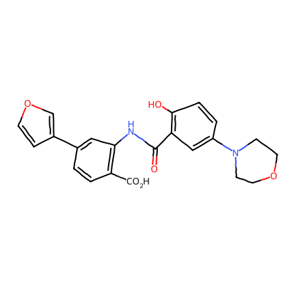 O=C(Nc1cc(-c2ccoc2)ccc1C(=O)O)c1cc(N2CCOCC2)ccc1O